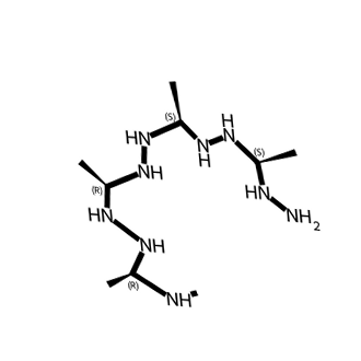 CN[C@@H](C)NN[C@@H](C)NN[C@@H](C)NN[C@@H](C)NN